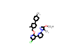 Cc1cc(-c2ccc(C(F)(F)F)cc2)ccc1COc1ncc(Cl)cc1-c1cccc(-n2ncc(OC(=O)O)c2C(F)(F)F)n1